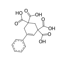 O=C(O)C1(C(=O)O)C=C(c2ccccc2)CC(C(=O)O)(C(=O)O)C1